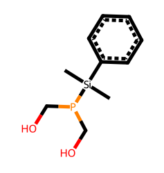 C[Si](C)(c1ccccc1)P(CO)CO